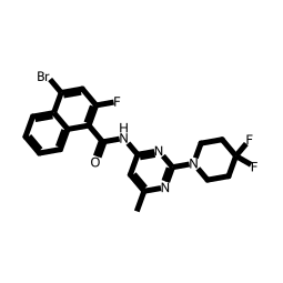 Cc1cc(NC(=O)c2c(F)cc(Br)c3ccccc23)nc(N2CCC(F)(F)CC2)n1